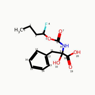 CCCC(F)OC(=O)NC(O)(Cc1ccccc1)C(=O)O